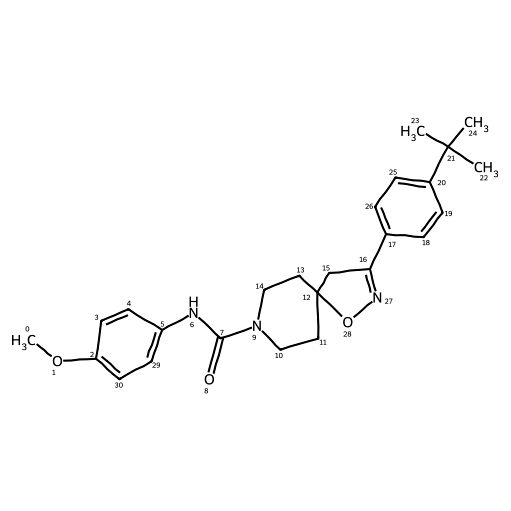 COc1ccc(NC(=O)N2CCC3(CC2)CC(c2ccc(C(C)(C)C)cc2)=NO3)cc1